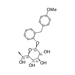 COc1ccc(Cc2ccccc2O[C@@H]2O[C@H]([C@H](C)O)[C@@H](O)[C@H](O)[C@H]2O)cc1